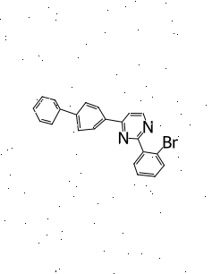 Brc1ccccc1-c1nccc(-c2ccc(-c3ccccc3)cc2)n1